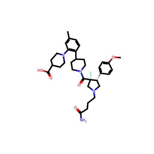 COc1ccc([C@@H]2CN(CCCC(N)=O)C[C@@]2(F)C(=O)N2CCC(c3ccc(C)cc3N3CCC(C(=O)O)CC3)CC2)cc1